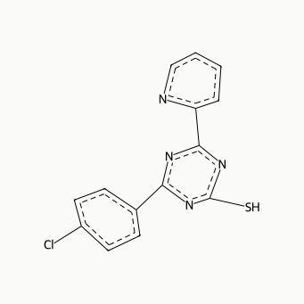 Sc1nc(-c2ccc(Cl)cc2)nc(-c2ccccn2)n1